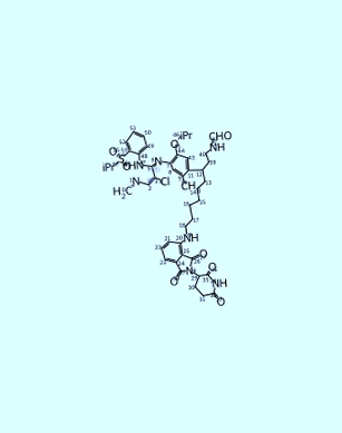 C=N/C=C(Cl)\C(=N/c1cc(C)c(C(CCCCCCNc2cccc3c2C(=O)N(C2CCC(=O)NC2=O)C3=O)CCNC=O)cc1OC(C)C)Nc1ccccc1S(=O)(=O)C(C)C